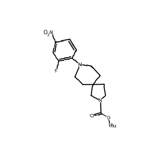 CC(C)(C)OC(=O)N1CCC2(CCN(c3ccc([N+](=O)[O-])cc3F)CC2)C1